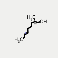 CC/C=C/CCC[C@@H](C)CO